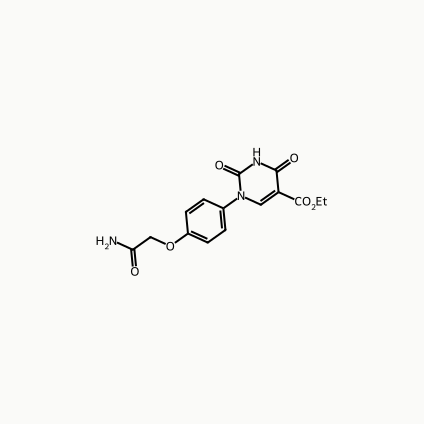 CCOC(=O)c1cn(-c2ccc(OCC(N)=O)cc2)c(=O)[nH]c1=O